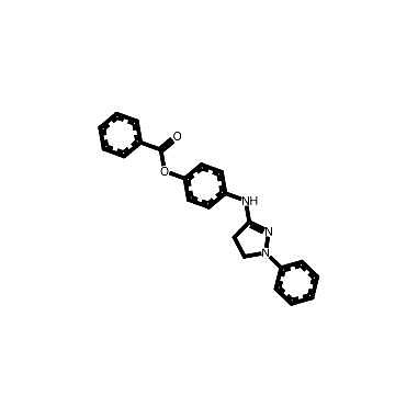 O=C(Oc1ccc(NC2=NN(c3ccccc3)CC2)cc1)c1ccccc1